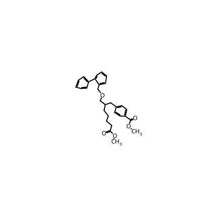 COC(=O)CCCCC(COCc1ccccc1-c1ccccc1)Cc1ccc(C(=O)OC)cc1